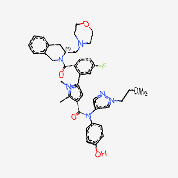 COCCn1cc(N(C(=O)c2cc(-c3cc(F)ccc3C(=O)N3Cc4ccccc4C[C@H]3CN3CCOCC3)n(C)c2C)c2ccc(O)cc2)cn1